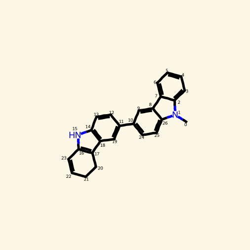 Cn1c2ccccc2c2cc(-c3ccc4[nH]c5c(c4c3)CCC=C5)ccc21